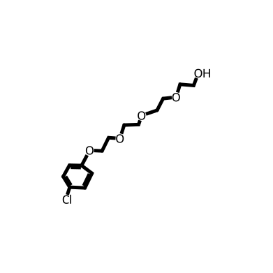 OCCOCCOCCOCCOc1ccc(Cl)cc1